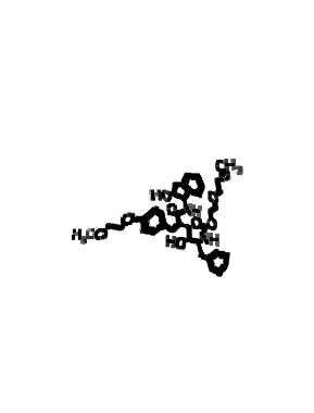 COCCOCCOC(=O)N[C@@H](Cc1ccccc1)[C@@H](O)C[C@@H](Cc1ccc(OCCOC)cc1)C(=O)N[C@H]1c2ccccc2C[C@H]1O